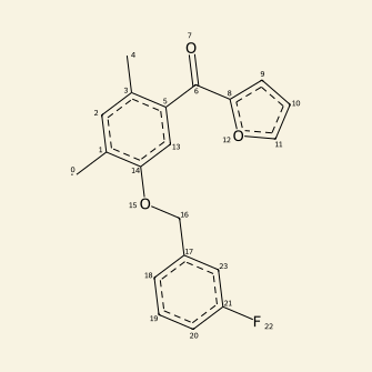 [CH2]c1cc(C)c(C(=O)c2ccco2)cc1OCc1cccc(F)c1